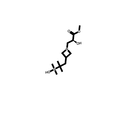 COC(=O)[C@@H](O)CN1CC(CC(C)(C)[Si](C)(C)O)C1